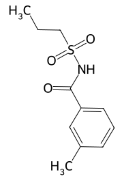 CCCS(=O)(=O)NC(=O)c1cccc(C)c1